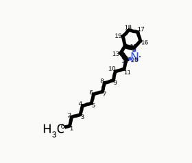 CCCCCCCCCCCCC1=CC2=C(CCCC2)[N]1